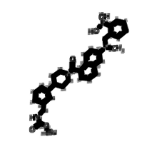 CN(Cc1ccccc1B(O)O)c1ccc2c(C(=O)N3CCC(c4cccc(CNC(=O)OC(C)(C)C)c4)CC3)cccc2c1